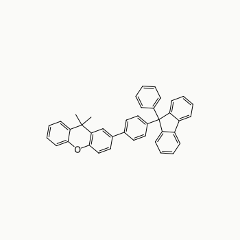 CC1(C)c2ccccc2Oc2ccc(-c3ccc(C4(c5ccccc5)c5ccccc5-c5ccccc54)cc3)cc21